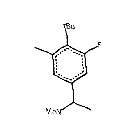 CNC(C)c1cc(C)c(C(C)(C)C)c(F)c1